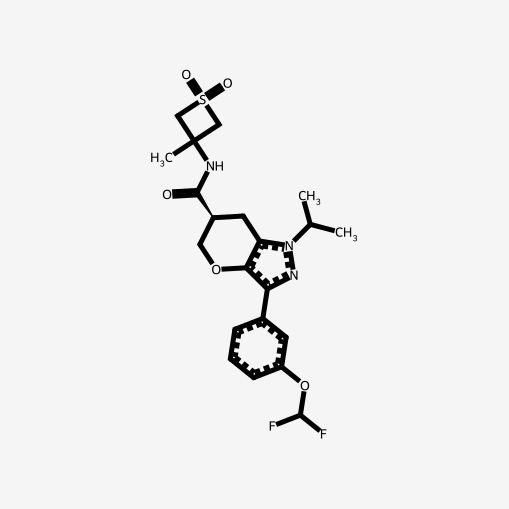 CC(C)n1nc(-c2cccc(OC(F)F)c2)c2c1C[C@H](C(=O)NC1(C)CS(=O)(=O)C1)CO2